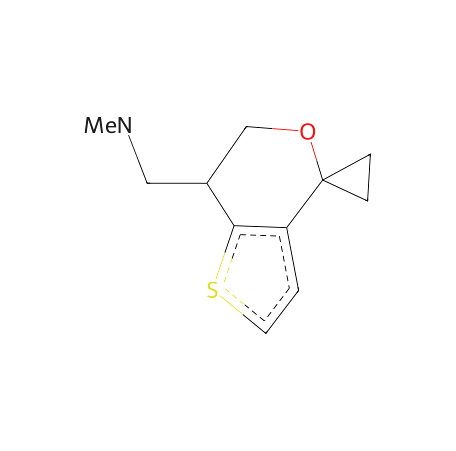 CNCC1COC2(CC2)c2ccsc21